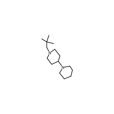 CC(C)(C)CN1CCC(N2CCCCC2)CC1